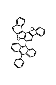 c1ccc(-c2c3ccccc3c(-c3cc4c5ccccc5oc4c4c3oc3ccc5ccccc5c34)c3ccccc23)cc1